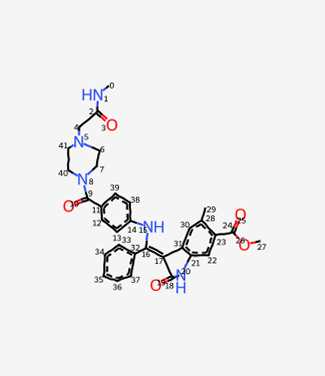 CNC(=O)CN1CCN(C(=O)c2ccc(NC(=C3C(=O)Nc4cc(C(=O)OC)c(C)cc43)c3ccccc3)cc2)CC1